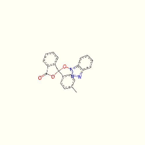 Cc1ccc(C2(On3nnc4ccccc43)OC(=O)c3ccccc32)cc1